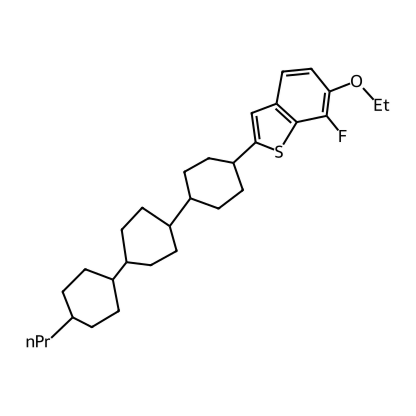 CCCC1CCC(C2CCC(C3CCC(c4cc5ccc(OCC)c(F)c5s4)CC3)CC2)CC1